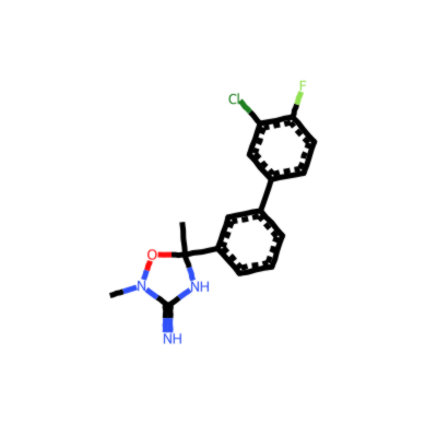 CN1OC(C)(c2cccc(-c3ccc(F)c(Cl)c3)c2)NC1=N